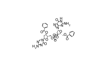 Nc1ncn([C@H]2C[C@@H](OC(=O)c3ccccc3)[C@@H](COP(=O)(O)O[C@@H]3C[C@H](n4cnc5c(=O)[nH]c(N)nc54)O[C@@H]3COC(=O)c3ccccc3)O2)c(=O)n1